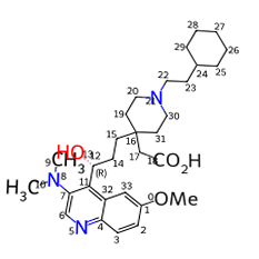 COc1ccc2ncc(N(C)C)c([C@H](O)CCC3(CC(=O)O)CCN(CCC4CCCCC4)CC3)c2c1